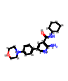 Nc1ncc(-c2ccc(N3CCOCC3)cc2)cc1C(=O)NC1CCCCC1